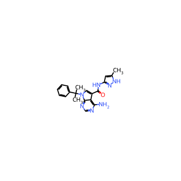 Cc1cc(NC(=O)c2cn(C(C)(C)c3ccccc3)c3ncnc(N)c23)n[nH]1